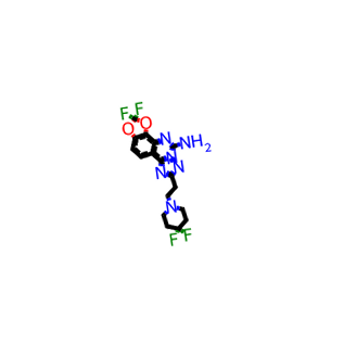 Nc1nc2c3c(ccc2c2nc(CCN4CCC(F)(F)CC4)nn12)OC(F)(F)O3